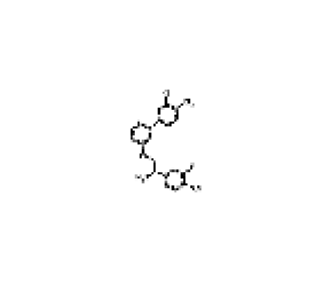 N#Cc1ccc(C(N)CNc2cc(-c3ccc(C(F)(F)F)c(Cl)c3)ncn2)cc1F